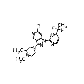 CC1CN(c2nn(-c3nccc(C(C)(F)F)n3)c3cc(Cl)ncc23)CCN1C